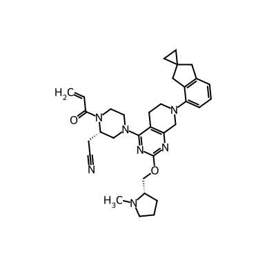 C=CC(=O)N1CCN(c2nc(OC[C@@H]3CCCN3C)nc3c2CCN(c2cccc4c2CC2(CC2)C4)C3)C[C@@H]1CC#N